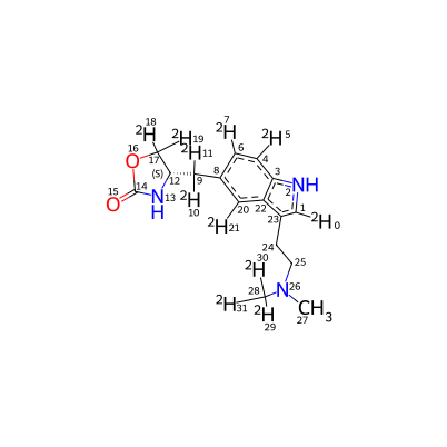 [2H]c1[nH]c2c([2H])c([2H])c(C([2H])([2H])[C@@H]3NC(=O)OC3([2H])[2H])c([2H])c2c1CCN(C)C([2H])([2H])[2H]